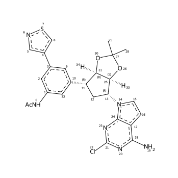 CC(=O)Nc1cc(-c2cnsc2)cc([C@H]2C[C@@H](n3ccc4c(N)nc(Cl)nc43)[C@@H]3OC(C)(C)O[C@@H]32)c1